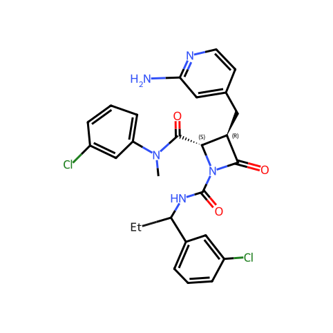 CCC(NC(=O)N1C(=O)[C@H](Cc2ccnc(N)c2)[C@H]1C(=O)N(C)c1cccc(Cl)c1)c1cccc(Cl)c1